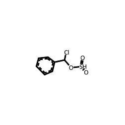 O=[SH](=O)OC(Cl)c1ccccc1